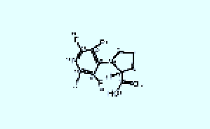 O=C(O)[C@@]1(I)CCCN1c1c(F)c(F)nc(F)c1F